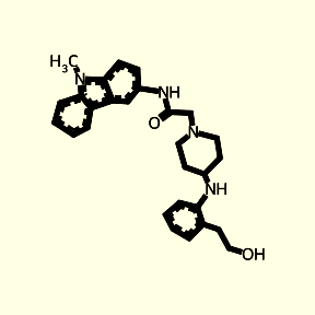 Cn1c2ccccc2c2cc(NC(=O)CN3CCC(Nc4ccccc4CCO)CC3)ccc21